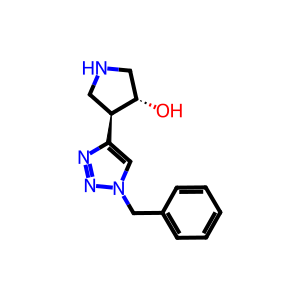 O[C@H]1CNC[C@@H]1c1cn(Cc2ccccc2)nn1